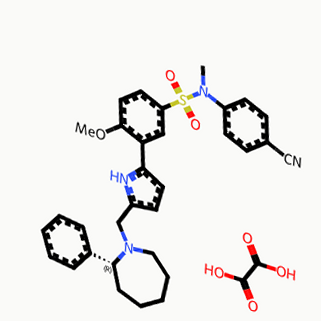 COc1ccc(S(=O)(=O)N(C)c2ccc(C#N)cc2)cc1-c1ccc(CN2CCCCC[C@@H]2c2ccccc2)[nH]1.O=C(O)C(=O)O